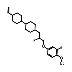 C=CC1CCC(C2CCC(CC(F)COc3ccc(OCC)c(F)c3)CC2)CC1